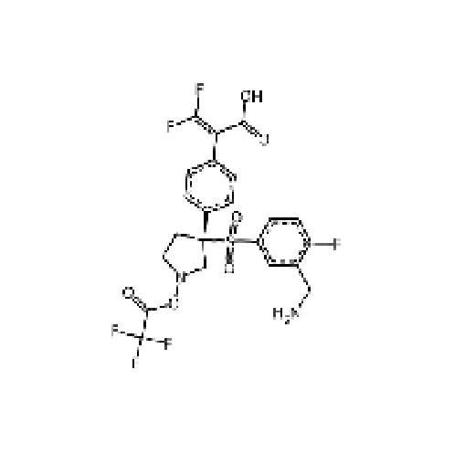 NCc1cc(S(=O)(=O)[C@@]2(c3ccc(C(C(=O)O)=C(F)F)cc3)CCN(OC(=O)C(F)(F)F)C2)ccc1F